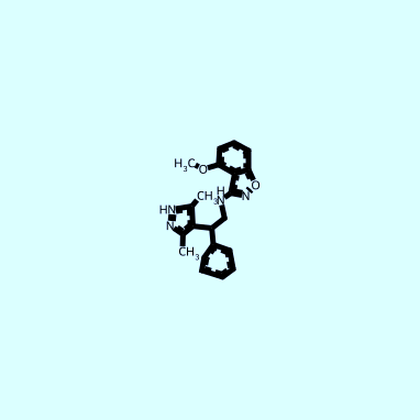 COc1cccc2onc(NCC(c3ccccc3)c3c(C)n[nH]c3C)c12